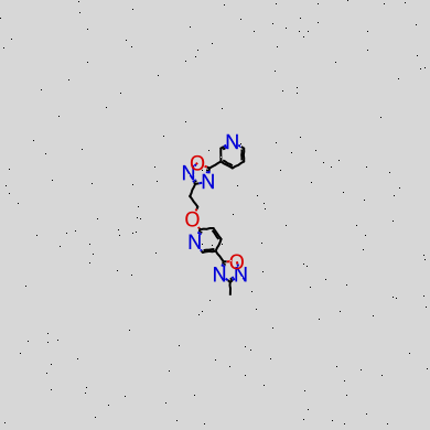 Cc1noc(-c2ccc(OCCc3noc(-c4cccnc4)n3)nc2)n1